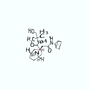 CC(C)(CO)NC(=O)CN1[C@@H]2CC[C@H]1C[C@H](CC(=O)NC1=C3C=C4C(C1)CC43)C2